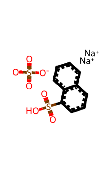 O=S(=O)(O)c1cccc2ccccc12.O=S(=O)([O-])[O-].[Na+].[Na+]